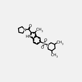 Cc1c(C(=O)N2CCCC2)[nH]c2ccc(S(=O)(=O)N3CC(C)CC(C)C3)cc12